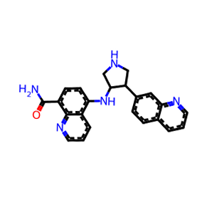 NC(=O)c1ccc(NC2CNCC2c2ccc3cccnc3c2)c2cccnc12